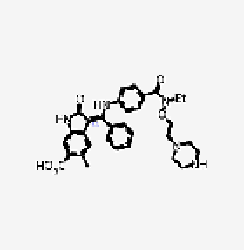 CCN(OCCN1CCNCC1)C(=O)c1ccc(N/C(=C2\C(=O)Nc3cc(C(=O)O)c(C)cc32)c2ccccc2)cc1